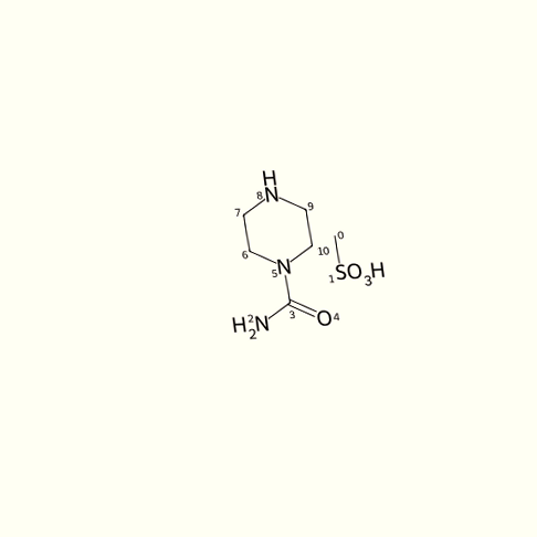 CS(=O)(=O)O.NC(=O)N1CCNCC1